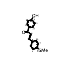 CSc1ccc(C=CC(=O)c2ccc(O)cc2)cc1